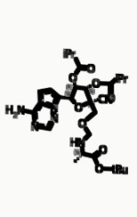 CC(C)C(=O)O[C@H]1[C@H](c2ccc3c(N)ncnn23)O[C@](C#N)(COCN[C@@H](C)C(=O)OC(C)(C)C)[C@H]1OC(=O)C(C)C